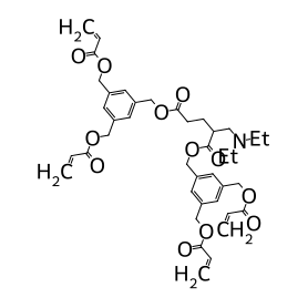 C=CC(=O)OCc1cc(COC(=O)C=C)cc(COC(=O)CCC(CN(CC)CC)C(=O)OCc2cc(COC(=O)C=C)cc(COC(=O)C=C)c2)c1